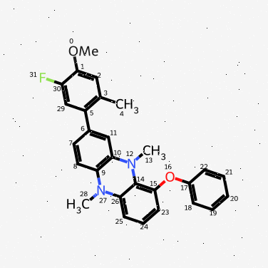 COc1cc(C)c(-c2ccc3c(c2)N(C)c2c(Oc4ccccc4)cccc2N3C)cc1F